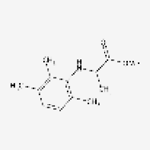 COC(=O)C(C)Nc1c(C)ccc(C)c1C